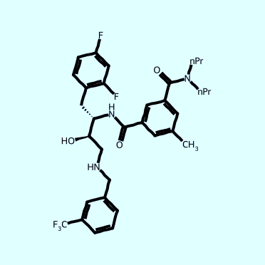 CCCN(CCC)C(=O)c1cc(C)cc(C(=O)N[C@@H](Cc2ccc(F)cc2F)[C@H](O)CNCc2cccc(C(F)(F)F)c2)c1